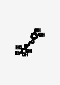 CCC(O)C(O)C(O)OCCOc1ccc(O)c(O)c1